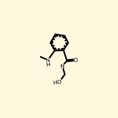 CNc1ccccc1C(=O)[N]CO